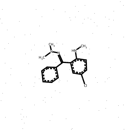 CNc1ccc(Cl)cc1/C(=N/N(C)C)c1ccccc1